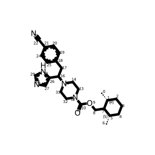 C[C@@H]1CCC[C@H](C)C1COC(=O)N1CCN(C(Cc2ccc(C#N)cc2)c2cnc[nH]2)CC1